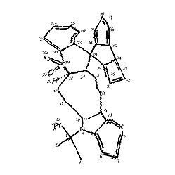 CC(C)C(C)(C)N1c2ccccc2C2CCC3[C@@H](CCC21)S(=O)(=O)c1ccccc1C31c2ccccc2-c2ccccc21